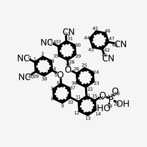 N#Cc1ccc(Oc2cccc(-c3cccc(OP(=O)(O)O)c3-c3cccc(Oc4ccc(C#N)c(C#N)c4)c3)c2)cc1C#N.N#Cc1ccccc1C#N